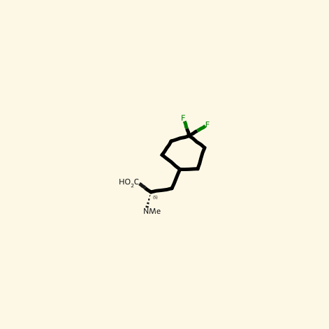 CN[C@@H](CC1CCC(F)(F)CC1)C(=O)O